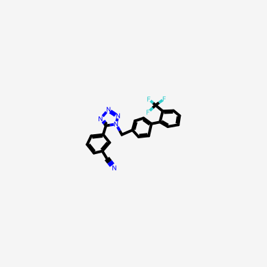 N#Cc1cccc(-c2nnnn2Cc2ccc(-c3ccccc3C(F)(F)F)cc2)c1